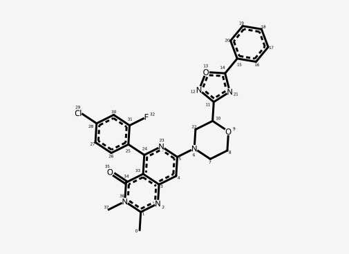 Cc1nc2cc(N3CCOC(c4noc(-c5ccccc5)n4)C3)nc(-c3ccc(Cl)cc3F)c2c(=O)n1C